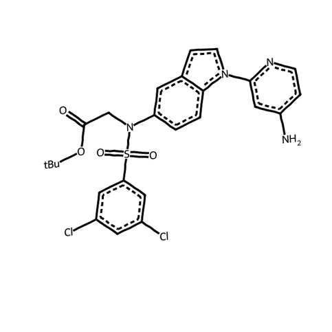 CC(C)(C)OC(=O)CN(c1ccc2c(ccn2-c2cc(N)ccn2)c1)S(=O)(=O)c1cc(Cl)cc(Cl)c1